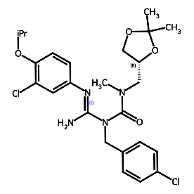 CC(C)Oc1ccc(/N=C(\N)N(Cc2ccc(Cl)cc2)C(=O)N(C)C[C@@H]2COC(C)(C)O2)cc1Cl